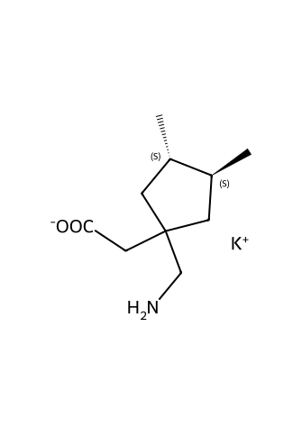 C[C@H]1CC(CN)(CC(=O)[O-])C[C@@H]1C.[K+]